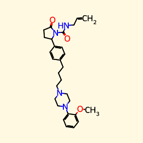 C=CCNC(=O)N1C(=O)CCC1c1ccc(CCCCN2CCN(c3ccccc3OC)CC2)cc1